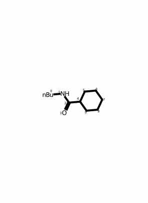 [CH2]CCCNC(=O)C1CCCCC1